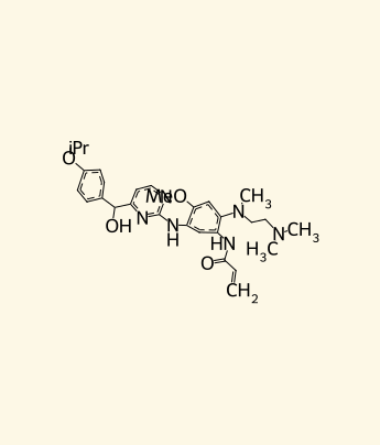 C=CC(=O)Nc1cc(Nc2nccc(C(O)c3ccc(OC(C)C)cc3)n2)c(OC)cc1N(C)CCN(C)C